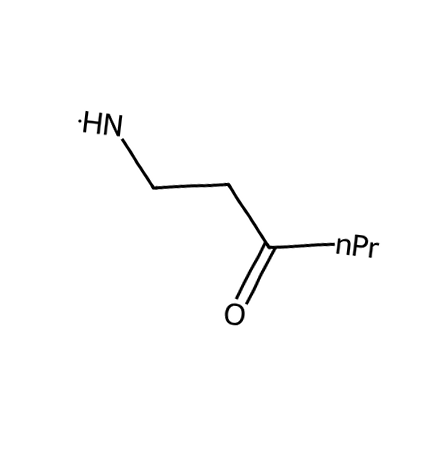 CCCC(=O)CC[NH]